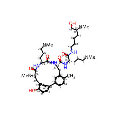 CNCCC[C@H](NC(=O)[C@@H]1Cc2cc(ccc2C)-c2ccc(O)c(c2)C[C@H](NC)C(=O)N[C@@H](CCCNC)C(=O)N1)C(=O)NCCCC[C@@H](CO)NC